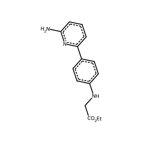 CCOC(=O)CNc1ccc(-c2cccc(N)n2)cc1